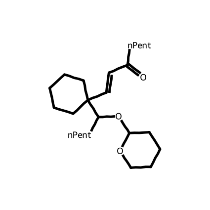 CCCCCC(=O)C=CC1(C(CCCCC)OC2CCCCO2)CCCCC1